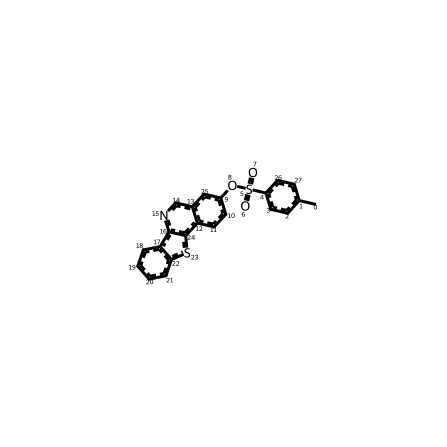 Cc1ccc(S(=O)(=O)Oc2ccc3c(cnc4c5ccccc5sc34)c2)cc1